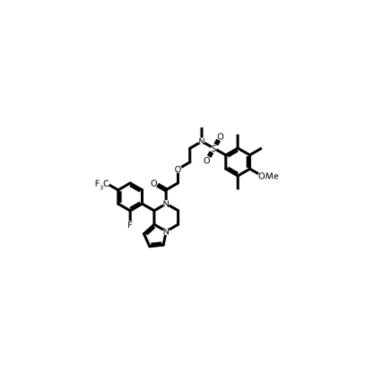 COc1c(C)cc(S(=O)(=O)N(C)CCOCC(=O)N2CCn3cccc3C2c2ccc(C(F)(F)F)cc2F)c(C)c1C